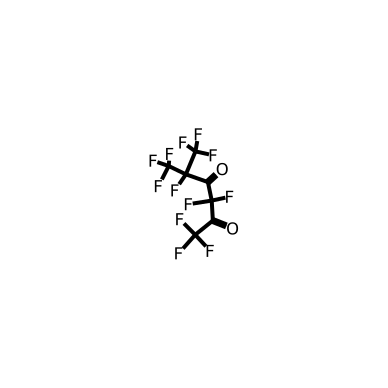 O=C(C(F)(F)F)C(F)(F)C(=O)C(F)(C(F)(F)F)C(F)(F)F